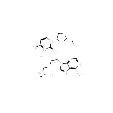 C[C@H](Cn1cnc2c(N)ncnc21)OCP(=O)(O)O.Nc1ccn([C@@H]2CS[C@H](CO)O2)c(=O)n1